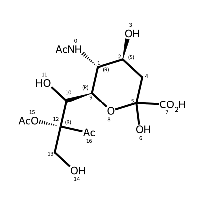 CC(=O)N[C@@H]1[C@@H](O)CC(O)(C(=O)O)O[C@H]1C(O)[C@@](CO)(OC(C)=O)C(C)=O